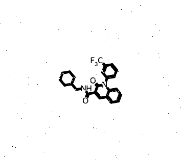 O=C(NCC1CCCCC1)c1cc2ccccc2n(-c2cccc(C(F)(F)F)c2)c1=O